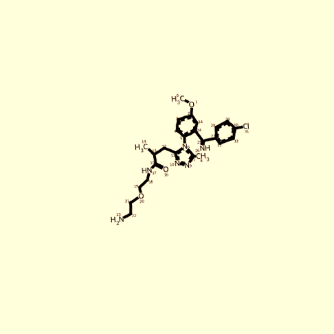 COc1ccc(-n2c(C)nnc2CC(C)C(=O)NCCOCCN)c(C(=N)c2ccc(Cl)cc2)c1